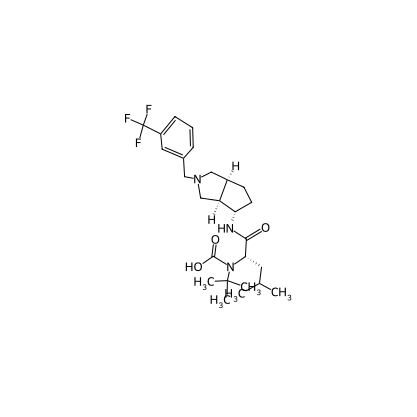 CC(C)C[C@@H](C(=O)N[C@H]1CC[C@@H]2CN(Cc3cccc(C(F)(F)F)c3)C[C@@H]21)N(C(=O)O)C(C)(C)C